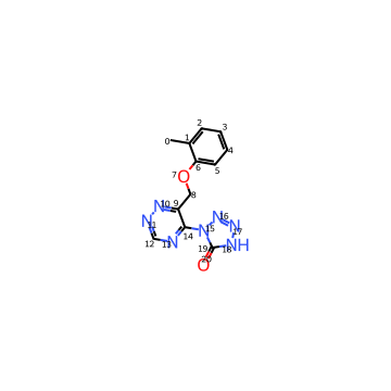 Cc1ccccc1OCc1nncnc1-n1nn[nH]c1=O